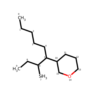 CCCCCC(C([SiH3])CC)C1CCCOC1